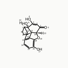 O=C1C=C(O)[C@@]2(O)[C@@H]3CCC[C@@]24c2c(ccc(O)c2O[C@@H]14)C3